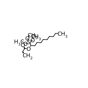 C=CC(=O)OC(CCCCCCCCC)[Si](OC)(OC)OC